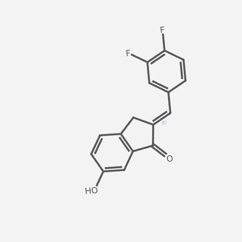 O=C1/C(=C/c2ccc(F)c(F)c2)Cc2ccc(O)cc21